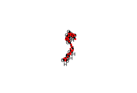 CCOc1cc(C(CS(C)(=O)=O)N2C(=O)c3cccc(NC(=O)CCCCCN4CCN(CC(=O)Nc5cccc(NC6CCC(=O)NC6=O)c5)CC4)c3C2=O)ccc1OC